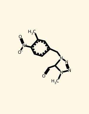 Cc1cc(CN2N=NN(C)C2C=O)ccc1[N+](=O)[O-]